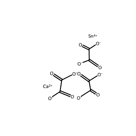 O=C([O-])C(=O)[O-].O=C([O-])C(=O)[O-].O=C([O-])C(=O)[O-].[Ca+2].[Sn+4]